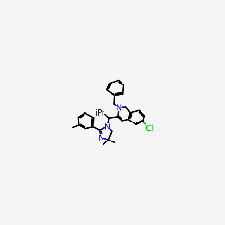 Cc1cccc(C2=NC(C)(C)CN2C(C2=Cc3cc(Cl)ccc3CN2Cc2ccccc2)C(C)C)c1